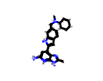 Cc1nc2c(-c3cc4ccc(CN(C)C5CCCCC5)cc4[nH]3)cc(N)nc2[nH]1